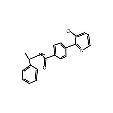 CC(NC(=O)c1ccc(-c2ncccc2Cl)cc1)c1ccccc1